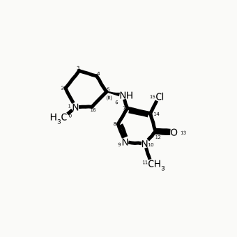 CN1CCC[C@@H](Nc2cnn(C)c(=O)c2Cl)C1